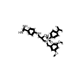 COc1cc(CN(CC(O)CNc2ccc(C(=N)N)cc2)S(=O)(=O)c2ccc(C(C)C)cc2)cc(OC)c1